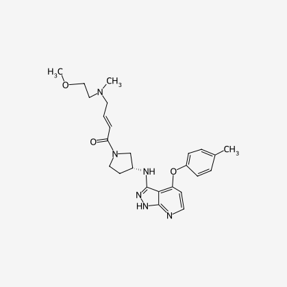 COCCN(C)C/C=C/C(=O)N1CC[C@@H](Nc2n[nH]c3nccc(Oc4ccc(C)cc4)c23)C1